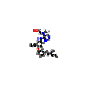 Cc1cc(Nc2ncnc3ccn(CCO)c23)ccc1Oc1cccc(/C=C/C(C)C)c1